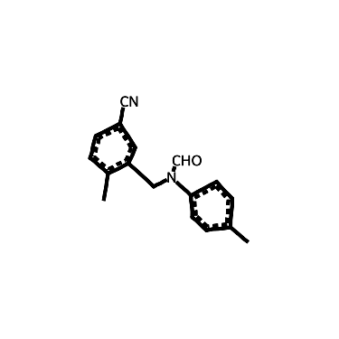 Cc1ccc(N(C=O)Cc2cc(C#N)ccc2C)cc1